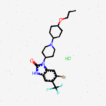 CCCOC1CCC(N2CCC(n3c(=O)[nH]c4cc(C(F)(F)F)c(Br)cc43)CC2)CC1.Cl